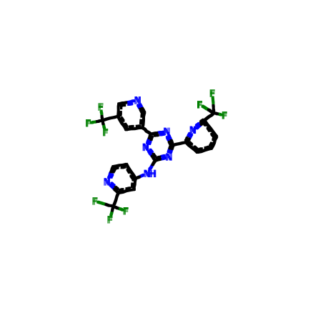 FC(F)(F)c1cncc(-c2nc(Nc3ccnc(C(F)(F)F)c3)nc(-c3cccc(C(F)(F)F)n3)n2)c1